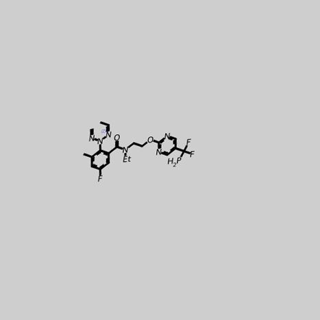 C=NN(/N=C\C)c1c(C)cc(F)cc1C(=O)N(CC)CCOc1ncc(C(F)(F)P)cn1